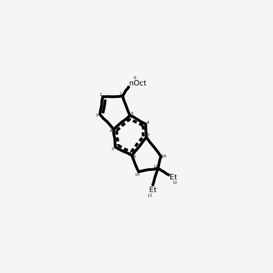 CCCCCCCC[C]1C=Cc2cc3c(cc21)CC(CC)(CC)C3